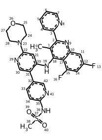 Cc1c(-c2ccccn2)nc2cc(F)cc(F)c2c1Nc1cc(N2CCOCC2)ncc1-c1ccc(NS(C)(=O)=O)nc1